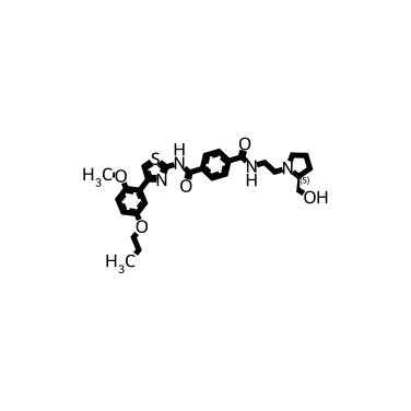 CCCOc1ccc(OC)c(-c2csc(NC(=O)c3ccc(C(=O)NCCN4CCC[C@H]4CO)cc3)n2)c1